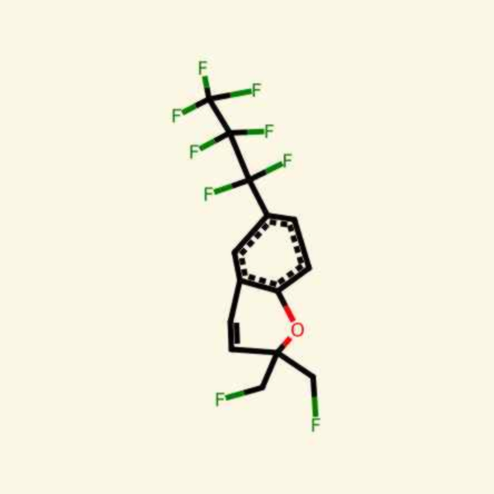 FCC1(CF)C=Cc2cc(C(F)(F)C(F)(F)C(F)(F)F)ccc2O1